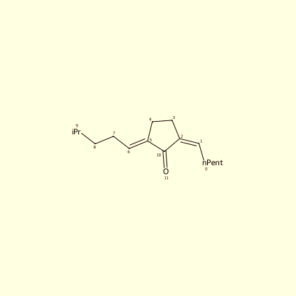 CCCCCC=C1CCC(=CCCC(C)C)C1=O